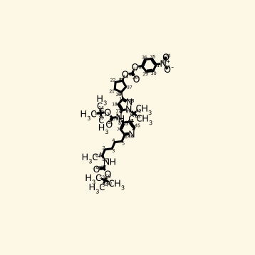 C[C@H](CCCCc1cc(N(C(=O)OC(C)(C)C)c2cc([C@H]3CC[C@@H](OC(=O)Oc4ccc([N+](=O)[O-])cc4)C3)nn2C(C)(C)C)ccn1)NC(=O)OC(C)(C)C